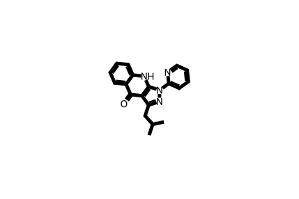 CC(C)Cc1nn(-c2ccccn2)c2[nH]c3ccccc3c(=O)c12